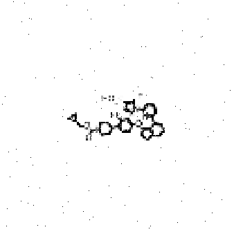 CCc1cc(O[C@H]2CCc3cccc(-c4cccc(-n5ncc(C(=O)O)c5CC)n4)c32)ccc1C1CCN(C(=O)OCC2CC2)CC1